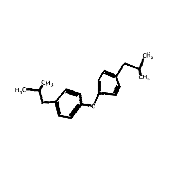 CC(C)Cc1ccc(Oc2ccc(CC(C)C)cc2)cc1